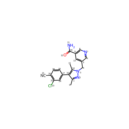 Cc1nn(Cc2cncc(C(N)=O)c2)c(C)c1-c1ccc(C#N)c(Cl)c1